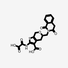 O=C(O)C(=O)Nc1sc2c(c1C(=O)O)CC(CN1C(=O)Cc3ccccc3C1=O)OC2